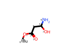 CC(C)(C)OC(=O)CC(N)O